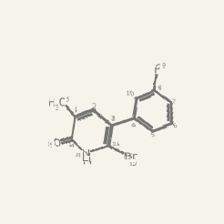 Cc1cc(-c2cccc(F)c2)c(Br)[nH]c1=O